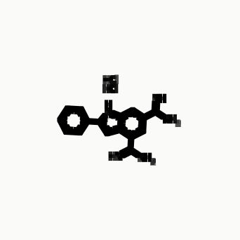 Cl.Cl.N=C(N)c1cc(C(=N)N)c2cc(-c3ccccc3)[nH]c2c1